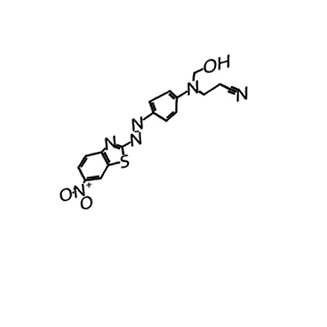 N#CCCN(CO)c1ccc(/N=N/c2nc3ccc([N+](=O)[O-])cc3s2)cc1